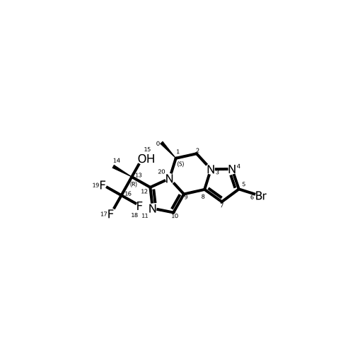 C[C@H]1Cn2nc(Br)cc2-c2cnc([C@@](C)(O)C(F)(F)F)n21